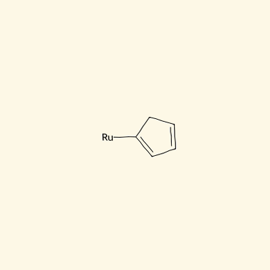 [Ru][C]1=CC=CC1